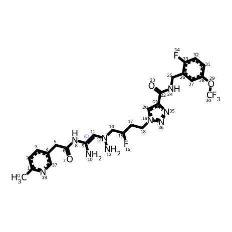 Cc1ccc(CC(=O)N/C(N)=C/N(N)CC(F)CCn2cc(C(=O)NCc3cc(OC(F)(F)F)ccc3F)nn2)cn1